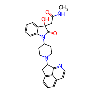 CNC(=O)CC1(O)C(=O)N(C2CCN(C3Cc4cccc5ccnc3c45)CC2)c2ccccc21